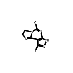 ClC1=Nc2[nH]nc(I)c2C2=NCCN12